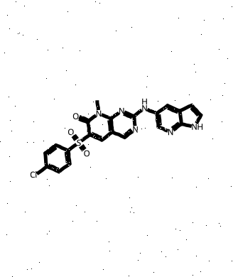 Cn1c(=O)c(S(=O)(=O)c2ccc(Cl)cc2)cc2cnc(Nc3cnc4[nH]ccc4c3)nc21